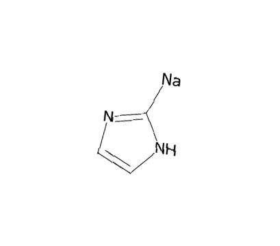 [Na][c]1ncc[nH]1